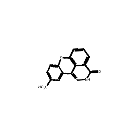 O=C(O)c1ccc2c(c1)-c1n[nH]c(=O)c3cccc(c13)O2